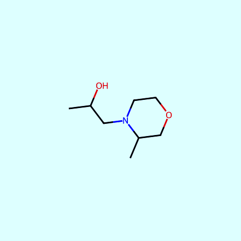 CC(O)CN1CCOCC1C